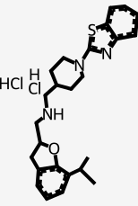 CC(C)c1cccc2c1OC(CNCC1CCN(c3nc4ccccc4s3)CC1)C2.Cl.Cl